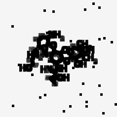 C[C@@H]1C(O)[C@@H](OC2C(O)C(O[C@H]3O[C@H](CNCCO)CCC3N)[C@@H](N)C[C@H]2NC(=N)C2(O)CC2)OCC1(C)O